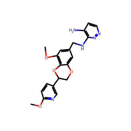 COc1ccc(C2COc3cc(CNc4nnccc4N)cc(OC)c3O2)cn1